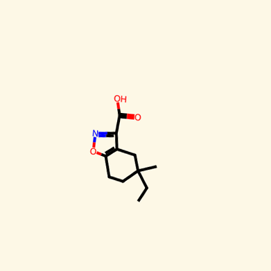 CCC1(C)CCc2onc(C(=O)O)c2C1